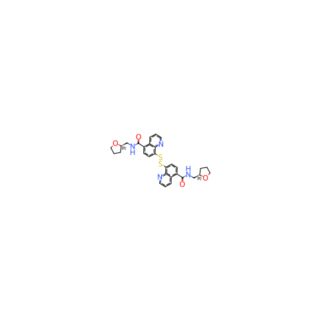 O=C(NC[C@H]1CCCO1)c1ccc(SSc2ccc(C(=O)NC[C@H]3CCCO3)c3cccnc23)c2ncccc12